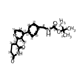 CC(C)(C)OC(=O)NCc1ccc(-c2ccnc(C3CCC(=O)NC3=O)c2F)cc1